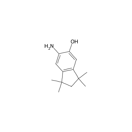 CC1(C)CC(C)(C)c2cc(O)c(N)cc21